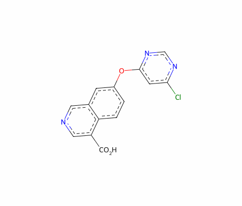 O=C(O)c1cncc2cc(Oc3cc(Cl)ncn3)ccc12